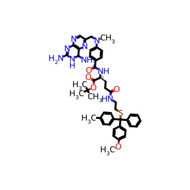 COc1ccc(C(SCCNC(=O)CC[C@H](NC(=O)c2ccc(N(C)Cc3cnc4c(n3)C(N)NC(N)=N4)cc2)C(=O)OC(C)(C)C)(c2ccccc2)c2ccc(C)cc2)cc1